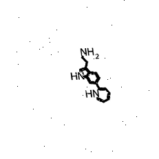 NCCc1c[nH]c2cc(C3=CC=CC=CN3)ccc12